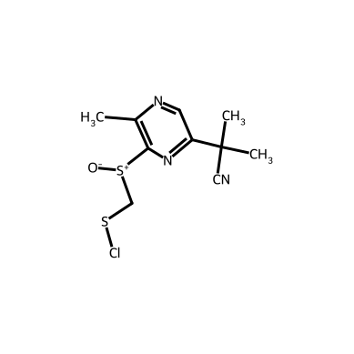 Cc1ncc(C(C)(C)C#N)nc1[S+]([O-])CSCl